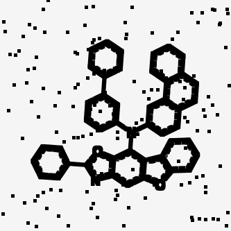 c1ccc(-c2cccc(N(c3ccc4ccc5ccccc5c4c3)c3c4oc(-c5ccccc5)nc4cc4oc5ccccc5c34)c2)cc1